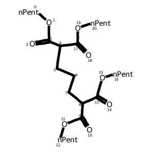 CCCCCOC(=O)C(CCCC(C(=O)OCCCCC)C(=O)OCCCCC)C(=O)OCCCCC